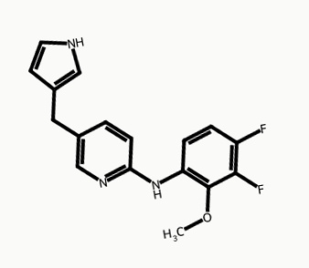 COc1c(Nc2ccc(Cc3cc[nH]c3)cn2)ccc(F)c1F